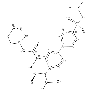 CC(=O)N1c2ccc(-c3ccc(S(=O)(=O)CC(C)C)cc3)cc2N(C(=O)OC2CCOCC2)C[C@@H]1C